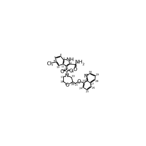 NC(=O)c1[nH]c2ccc(Cl)cc2c1S(=O)(=O)N1CCO[C@H](COc2cccc3cccnc23)C1